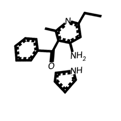 CCc1cc(N)c(C(=O)c2ccccc2)c(C)n1.c1cc[nH]c1